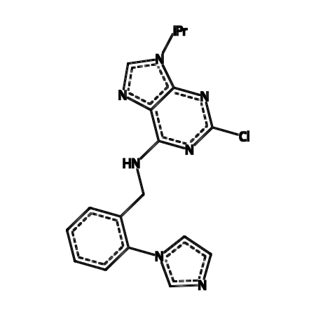 CC(C)n1cnc2c(NCc3ccccc3-n3ccnc3)nc(Cl)nc21